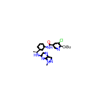 CC(C)COc1ncc(C(=O)Nc2cccc([C@H](C)Nc3cnc4cnn(C)c4n3)c2)cc1Cl